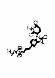 Cn1c(=O)n(C2CCC(=O)NC2=O)c2ccc(CCCS(N)(=O)=O)cc21